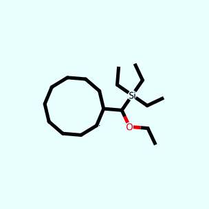 CCOC(C1[CH]CCCCCCCC1)[Si](CC)(CC)CC